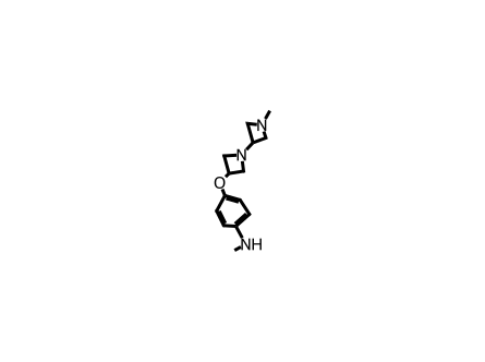 CNc1ccc(OC2CN(C3CN(C)C3)C2)cc1